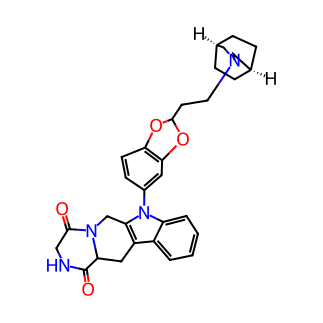 O=C1NCC(=O)N2Cc3c(c4ccccc4n3-c3ccc4c(c3)OC(CCN3C[C@H]5CC[C@H](CC5)C3)O4)CC12